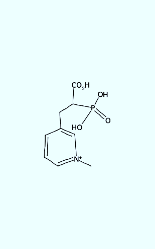 C[n+]1cccc(CC(C(=O)O)P(=O)(O)O)c1